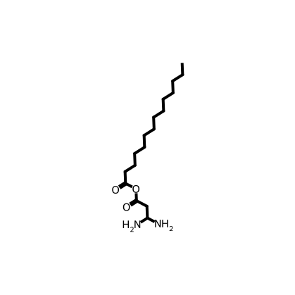 CCCCCCCCCCCCCC(=O)OC(=O)CC(N)N